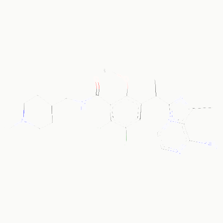 CCN1CCC(CNC(=O)c2c(F)c(Cl)cc(C(C)c3nc(C)c4c(N)nccn34)c2OC(C)C)CC1